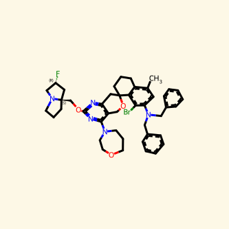 Cc1cc(N(Cc2ccccc2)Cc2ccccc2)c(Br)c2c1CCCC21Cc2nc(OC[C@@]34CCCN3C[C@H](F)C4)nc(N3CCCOCC3)c2CO1